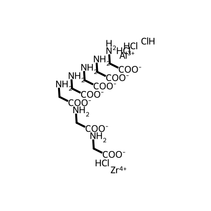 Cl.Cl.Cl.Cl.NCC(=O)[O-].NCC(=O)[O-].NCC(=O)[O-].NCC(=O)[O-].NCC(=O)[O-].NCC(=O)[O-].NCC(=O)[O-].[Al+3].[Zr+4]